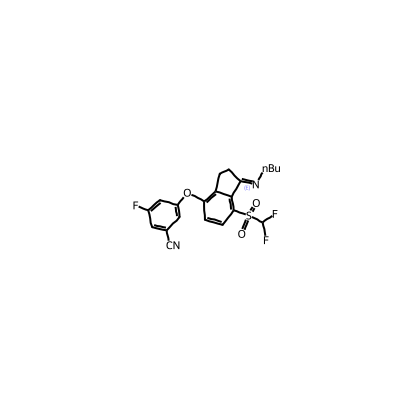 CCCC/N=C1\CCc2c(Oc3cc(F)cc(C#N)c3)ccc(S(=O)(=O)C(F)F)c21